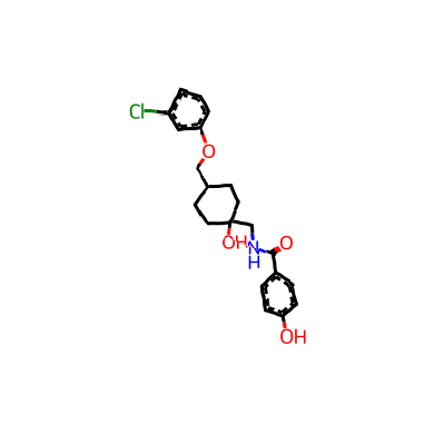 O=C(NCC1(O)CCC(COc2cccc(Cl)c2)CC1)c1ccc(O)cc1